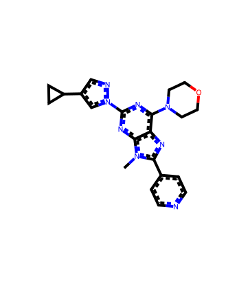 Cn1c(-c2ccncc2)nc2c(N3CCOCC3)nc(-n3cc(C4CC4)cn3)nc21